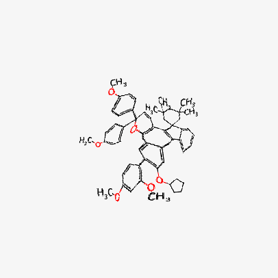 COc1ccc(C2(c3ccc(OC)cc3)C=Cc3c4c(c5cc(OC6CCCC6)c(-c6ccc(OC)cc6OC)cc5c3O2)-c2ccccc2C42CC(C)(C)CC(C)(C)C2)cc1